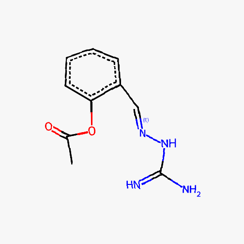 CC(=O)Oc1ccccc1/C=N/NC(=N)N